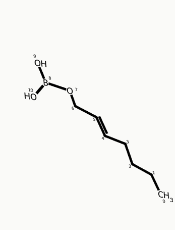 CCCCC=CCOB(O)O